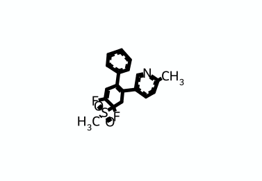 Cc1ccc(C2=C(c3ccccc3)C=C(F)C(F)(S(C)(=O)=O)C2)cn1